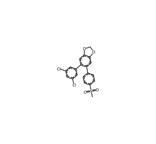 CS(=O)(=O)c1ccc(-c2cc3c(cc2-c2cc(Cl)cc(Cl)c2)OCO3)cc1